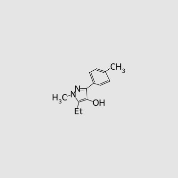 CCc1c(O)c(-c2ccc(C)cc2)nn1C